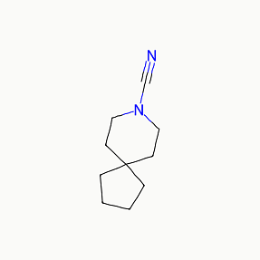 N#CN1CCC2(CCCC2)CC1